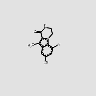 Cc1c2n(c3c(Br)cc(C#N)cc13)CCNC2=O